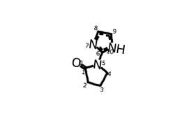 O=C1CCCN1c1ncc[nH]1